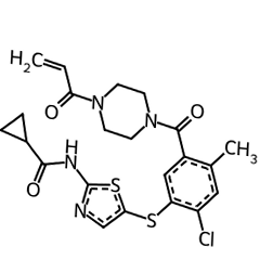 C=CC(=O)N1CCN(C(=O)c2cc(Sc3cnc(NC(=O)C4CC4)s3)c(Cl)cc2C)CC1